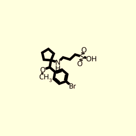 COC(c1ccc(Br)cc1)C1(NCCCS(=O)(=O)O)CCCC1